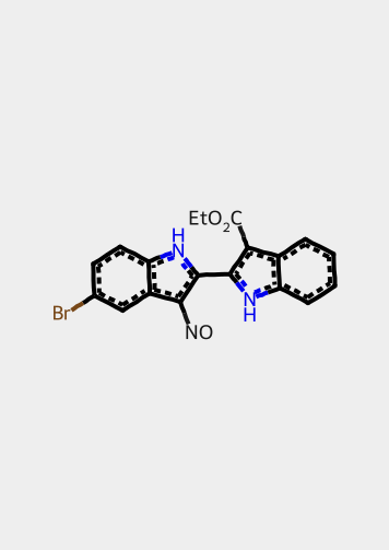 CCOC(=O)c1c(-c2[nH]c3ccc(Br)cc3c2N=O)[nH]c2ccccc12